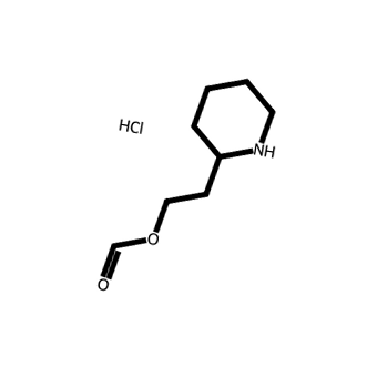 Cl.O=COCCC1CCCCN1